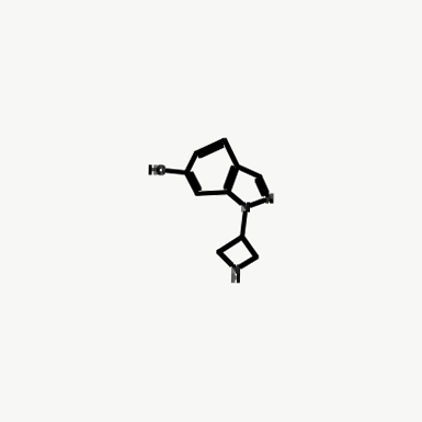 Oc1ccc2cnn(C3CNC3)c2c1